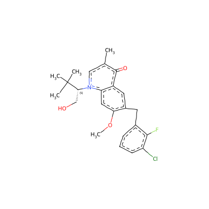 COc1cc2c(cc1Cc1cccc(Cl)c1F)c(=O)c(C)cn2[C@H](CO)C(C)(C)C